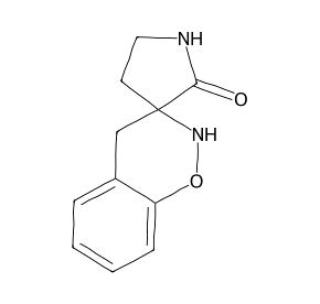 O=C1NCCC12Cc1ccccc1ON2